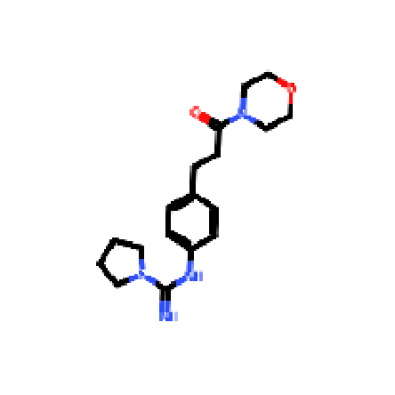 N=C(Nc1ccc(CCC(=O)N2CCOCC2)cc1)N1CCCC1